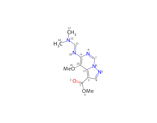 COC(=O)c1cnn2cnc(N=CN(C)C)c(OC)c12